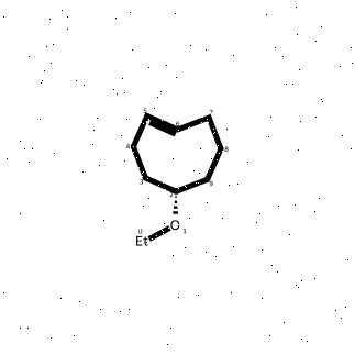 CCO[C@@H]1CC/C=C/CCC1